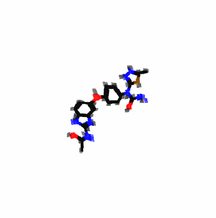 CC(=O)Nc1nc2cc(Oc3ccc(N(C(N)=O)c4nnc(C)s4)cc3)ccc2[nH]1